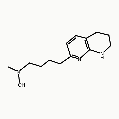 CN(O)CCCCc1ccc2c(n1)NCCC2